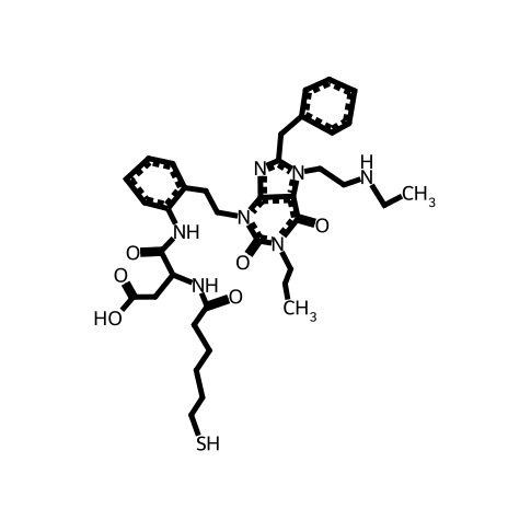 CCCn1c(=O)c2c(nc(Cc3ccccc3)n2CCNCC)n(CCc2ccccc2NC(=O)C(CC(=O)O)NC(=O)CCCCCS)c1=O